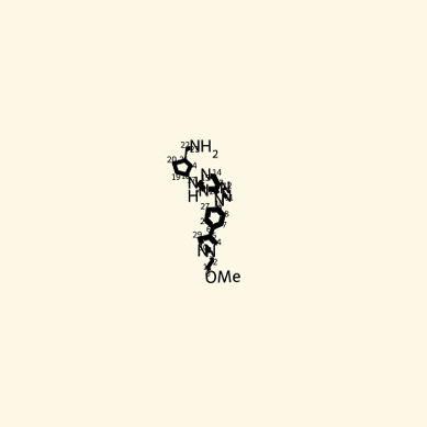 COCCn1cc(-c2ccc(-n3nnc4cnc(N[C@@H]5CC[C@@H](CN)C5)nc43)cc2)cn1